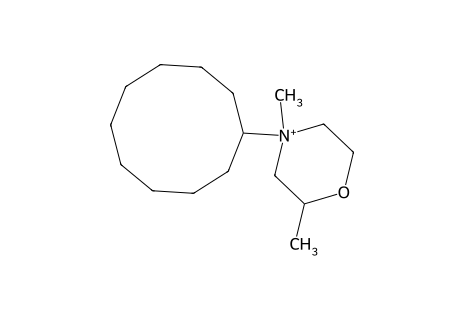 CC1C[N+](C)(C2CCCCCCCCC2)CCO1